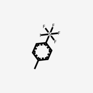 Cc1ccc(S(F)(F)(F)(F)I)cc1